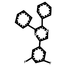 Fc1cc(F)cc(-c2cnc(-c3ccccc3)c(-c3ccccc3)n2)c1